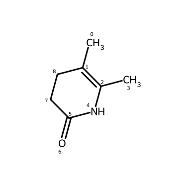 CC1=C(C)NC(=O)CC1